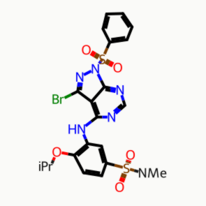 CNS(=O)(=O)c1ccc(OC(C)C)c(Nc2ncnc3c2c(Br)nn3S(=O)(=O)c2ccccc2)c1